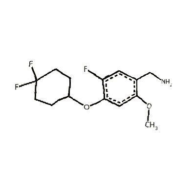 COc1cc(OC2CCC(F)(F)CC2)c(F)cc1CN